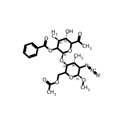 CO[C@H]1OC(COC(C)=O)[C@@H](O[C@@H]2OC(C(C)=O)[C@@H](O)[C@H](C)C2OC(=O)c2ccccc2)[C@H](C)C1N=[N+]=[N-]